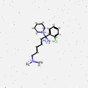 CC(=O)N(CCCCCC(N)(c1ccccc1Cl)N1CCCCC1)C(C)C